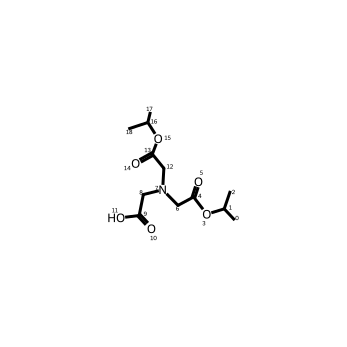 CC(C)OC(=O)CN(CC(=O)O)CC(=O)OC(C)C